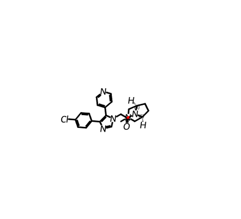 CN1C[C@H]2CC[C@@H](C1)N2C(=O)Cn1cnc(-c2ccc(Cl)cc2)c1-c1ccncc1